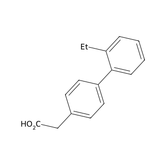 CCc1ccccc1-c1ccc(CC(=O)O)cc1